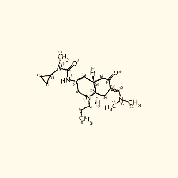 CCCN1C[C@@H](NC(=O)N(C)C2CC2)C[C@@H]2CC(=O)C(=CN(C)C)C[C@H]21